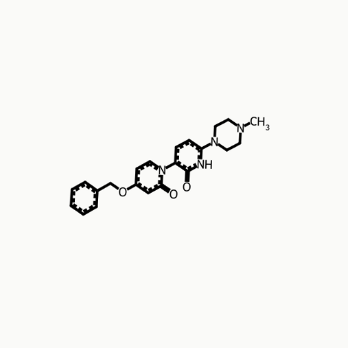 CN1CCN(c2ccc(-n3ccc(OCc4ccccc4)cc3=O)c(=O)[nH]2)CC1